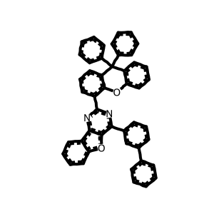 c1ccc(-c2cccc(-c3nc(-c4cccc5c4Oc4ccccc4C5(c4ccccc4)c4ccccc4)nc4c3oc3ccccc34)c2)cc1